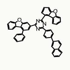 c1ccc(-c2cc(-c3nc(-c4ccc(-c5ccc6ccccc6c5)cc4)nc(-c4cccc5oc6ccccc6c45)n3)cc3oc4ccccc4c23)cc1